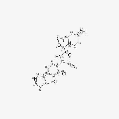 CON(C(=O)NC(C#N)c1ccc(-c2cncnc2)c(Cl)c1Cl)N1CCN(C)CC1